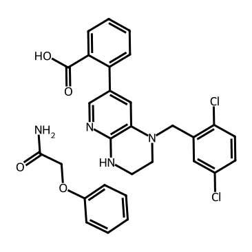 NC(=O)COc1ccccc1.O=C(O)c1ccccc1-c1cnc2c(c1)N(Cc1cc(Cl)ccc1Cl)CCN2